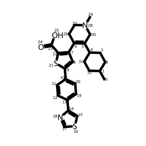 CC1CCC(C2=C(c3cc(-c4ccc(-c5cscn5)cc4)sc3C(=O)O)CCN(C)C2)CC1